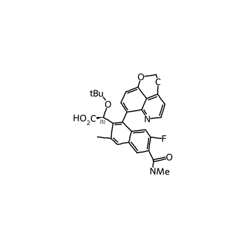 CNC(=O)c1cc2cc(C)c([C@H](OC(C)(C)C)C(=O)O)c(-c3ccc4c5c(ccnc35)CCO4)c2cc1F